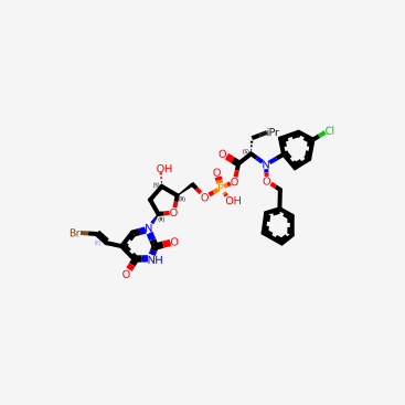 CC(C)C[C@@H](C(=O)OP(=O)(O)OC[C@H]1O[C@@H](n2cc(/C=C/Br)c(=O)[nH]c2=O)C[C@@H]1O)N(OCc1ccccc1)c1ccc(Cl)cc1